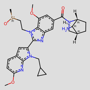 COc1ccc2cc(-c3nc4cc(C(=O)N5C[C@H]6CC[C@@H]5[C@@H]6N)cc(OC)c4n3CC[S@+](C)[O-])n(CC3CC3)c2n1